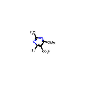 CCc1nc(C(F)(F)F)nc(OC)c1C(=O)O